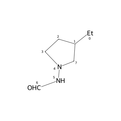 CCC1CCN(NC=O)C1